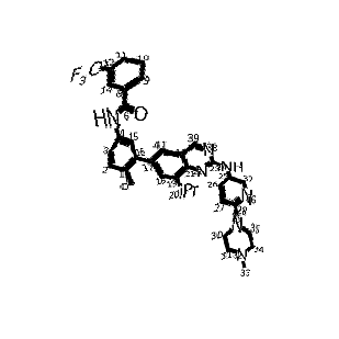 Cc1ccc(NC(=O)c2cccc(C(F)(F)F)c2)cc1-c1cc(C(C)C)c2nc(Nc3ccc(N4CCN(C)CC4)nc3)ncc2c1